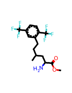 COC(=O)C(N)CC(C)CCc1cc(C(F)(F)F)ccc1C(F)(F)F